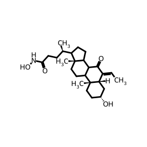 C/C=C1/C(=O)C2C3CCC([C@H](C)CCC(=O)NO)[C@@]3(C)CCC2[C@@]2(C)CC[C@@H](O)C[C@@H]12